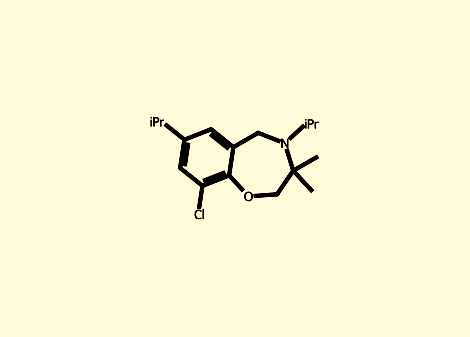 CC(C)c1cc(Cl)c2c(c1)CN(C(C)C)C(C)(C)CO2